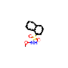 CONS(=O)(=O)c1cccc2ccccc12